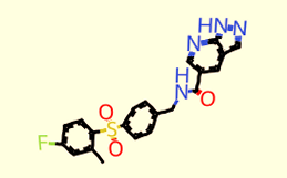 Cc1cc(F)ccc1S(=O)(=O)c1ccc(CNC(=O)c2cnc3[nH]ncc3c2)cc1